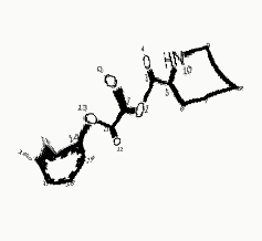 O=C(OC(=O)[C@@H]1CCCCN1)C(=O)Oc1ccccc1